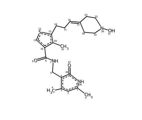 Cc1cc(C)c(CNC(=O)c2csc(CCC=C3CCN(O)CC3)c2C)c(=O)[nH]1